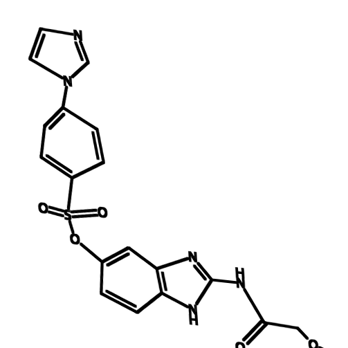 COCC(=O)Nc1nc2cc(OS(=O)(=O)c3ccc(-n4ccnc4)cc3)ccc2[nH]1